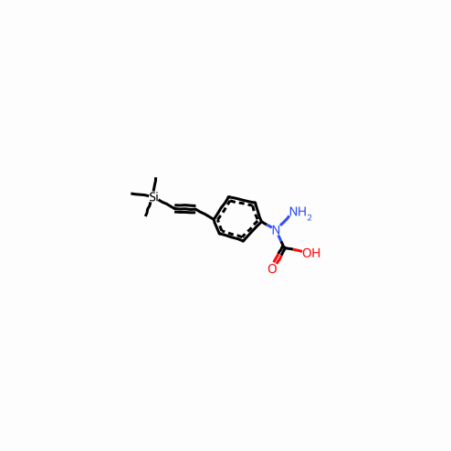 C[Si](C)(C)C#Cc1ccc(N(N)C(=O)O)cc1